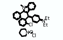 CC[N+](CC)=C1C=CC(=C(c2ccccc2Cl)c2c(-c3ccccc3)n(C)c3ccccc23)C=C1.ClON1CCCCC1